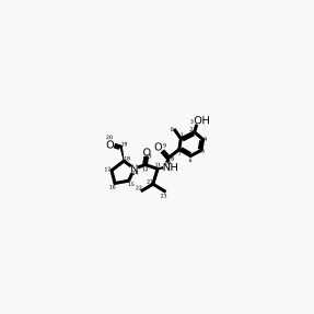 Cc1c(O)cccc1C(=O)N[C@H](C(=O)N1CCC[C@H]1C=O)C(C)C